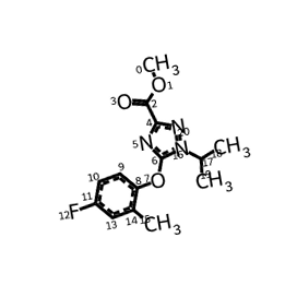 COC(=O)c1nc(Oc2ccc(F)cc2C)n(C(C)C)n1